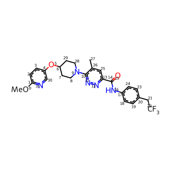 COc1ccc(OC2CCN(c3nnc(C(=O)Nc4ccc(CC(F)(F)F)cc4)cc3C)CC2)cn1